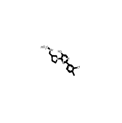 Cc1ccc(-c2ncc(O)c(N3CCC(CNC(=O)O)C3)n2)cc1Cl